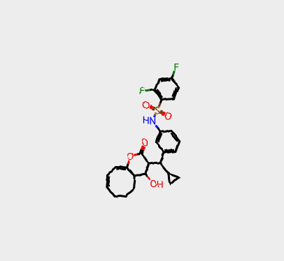 O=C1OC2=CC=CCCCC2C(O)C1C(c1cccc(NS(=O)(=O)c2ccc(F)cc2F)c1)C1CC1